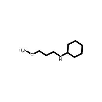 NOCCCNC1CCCCC1